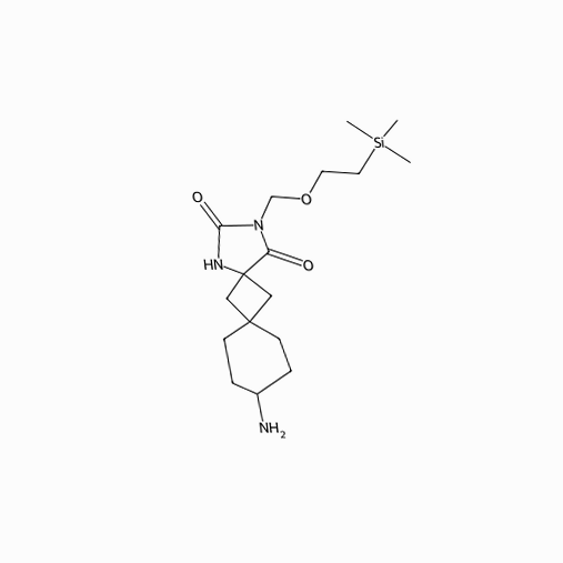 C[Si](C)(C)CCOCN1C(=O)NC2(CC3(CCC(N)CC3)C2)C1=O